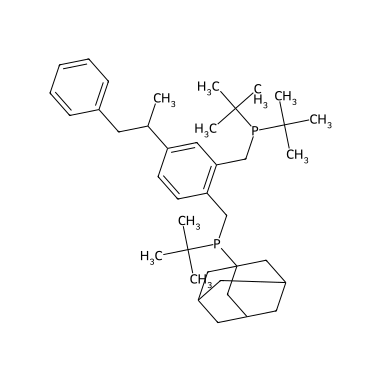 CC(Cc1ccccc1)c1ccc(CP(C(C)(C)C)C23CC4CC(CC(C4)C2)C3)c(CP(C(C)(C)C)C(C)(C)C)c1